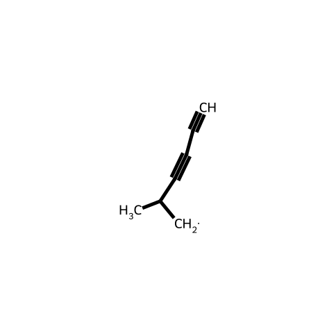 C#CC#CC([CH2])C